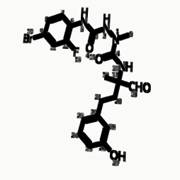 CN(NC(=O)Nc1ccc(Br)cc1F)C(=O)NC(C)(C=O)CCc1cccc(O)c1